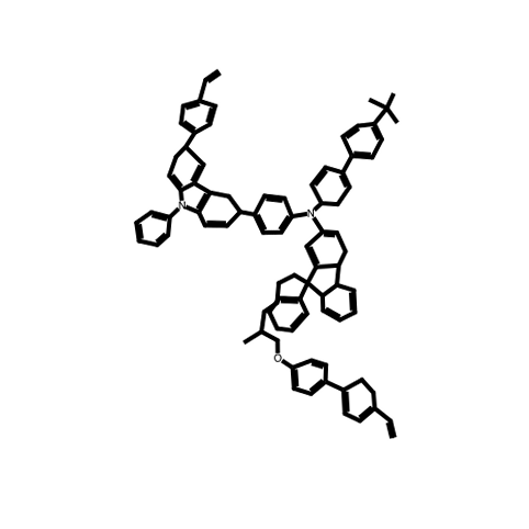 C=CC1=CC=C(c2ccc(OCC(C)CCCCC3(C4=CCCC=C4)C4=CC(N(c5ccc(C6C=Cc7c(c8c(n7-c7ccccc7)=CCC(c7ccc(C=C)cc7)C=8)C6)cc5)C5C=CC(c6ccc(C(C)(C)C)cc6)=CC5)=CCC4C4C=CC=CC43)cc2)CC1